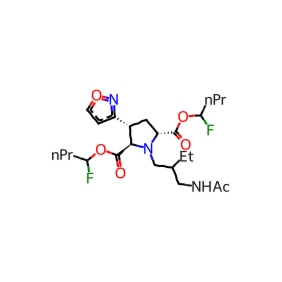 CCCC(F)OC(=O)[C@H]1C[C@@H](c2ccon2)[C@H](C(=O)OC(F)CCC)N1CC(CC)CNC(C)=O